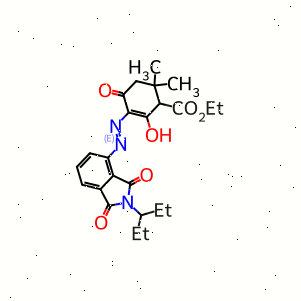 CCOC(=O)C1C(O)=C(/N=N/c2cccc3c2C(=O)N(C(CC)CC)C3=O)C(=O)CC1(C)C